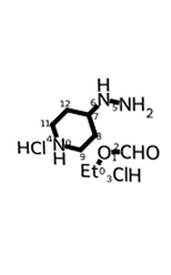 CCOC=O.Cl.Cl.NNC1CCNCC1